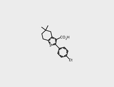 CCc1ccc(-c2sc3c(c2C(=O)O)CC(C)(C)CC3)cc1